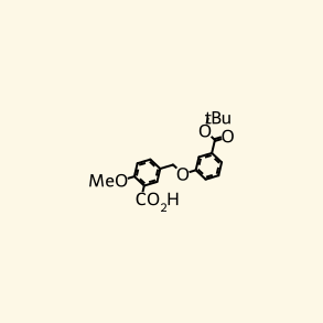 COc1ccc(COc2cccc(C(=O)OC(C)(C)C)c2)cc1C(=O)O